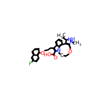 CCC1NN(C)C2=C1c1cccc3c(CCCOc4cccc5cc(F)ccc45)c(C(=O)O)n(c13)CCCCOC2